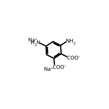 Nc1cc(N)c(C(=O)[O-])c(C(=O)[O-])c1.[Na+].[Na+]